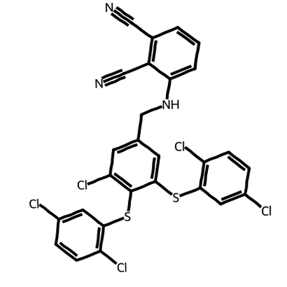 N#Cc1cccc(NCc2cc(Cl)c(Sc3cc(Cl)ccc3Cl)c(Sc3cc(Cl)ccc3Cl)c2)c1C#N